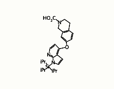 CC(C)[Si](C(C)C)(C(C)C)n1ccc2c(Oc3ccc4c(c3)CN(C(=O)O)CC4)ccnc21